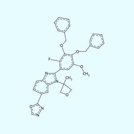 COc1cc(-c2nc3ccc(-c4nnco4)cc3n2C2(C)COC2)c(F)c(OCc2ccccc2)c1OCc1ccccc1